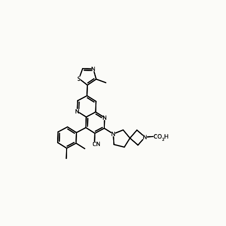 Cc1cccc(-c2c(C#N)c(N3CCC4(CN(C(=O)O)C4)C3)nc3cc(-c4scnc4C)cnc23)c1C